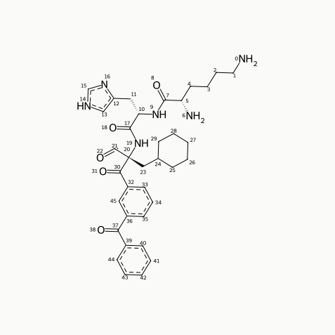 NCCCC[C@H](N)C(=O)N[C@@H](Cc1c[nH]cn1)C(=O)N[C@]([C]=O)(CC1CCCCC1)C(=O)c1cccc(C(=O)c2ccccc2)c1